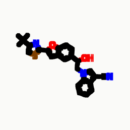 CC(C)(C)c1csc(-c2cc3cc(C(O)Cn4cc(C#N)c5ccccc54)ccc3o2)n1